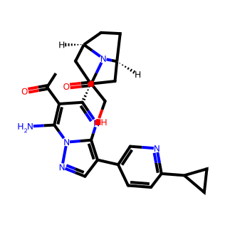 CC(=O)c1c([C@@H]2C[C@H]3CC[C@@H](C2)N3C(=O)CO)nc2c(-c3ccc(C4CC4)nc3)cnn2c1N